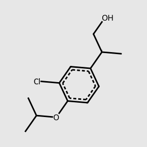 C[C](CO)c1ccc(OC(C)C)c(Cl)c1